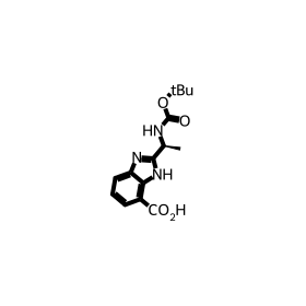 C[C@H](NC(=O)OC(C)(C)C)c1nc2cccc(C(=O)O)c2[nH]1